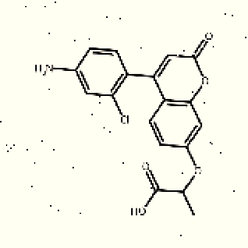 CC(Oc1ccc2c(-c3ccc(N)cc3Cl)cc(=O)oc2c1)C(=O)O